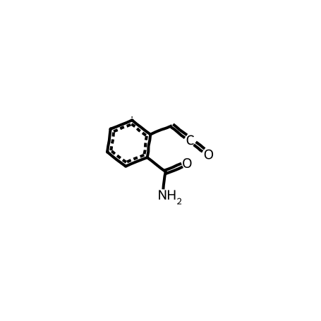 NC(=O)c1ccc[c]c1C=C=O